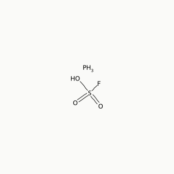 O=S(=O)(O)F.P